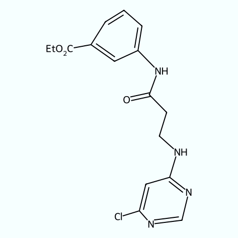 CCOC(=O)c1cccc(NC(=O)CCNc2cc(Cl)ncn2)c1